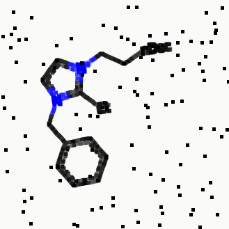 CCCCCCCCCCCC[n+]1ccn(Cc2ccccc2)c1CC